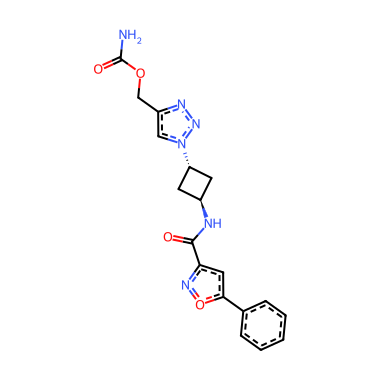 NC(=O)OCc1cn([C@H]2C[C@H](NC(=O)c3cc(-c4ccccc4)on3)C2)nn1